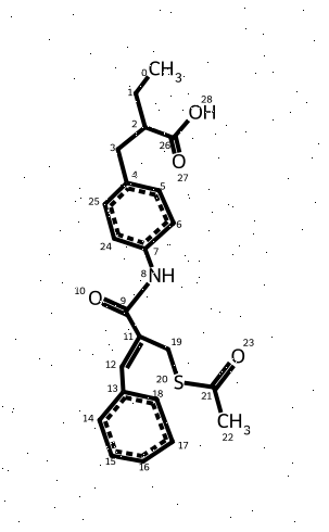 CCC(Cc1ccc(NC(=O)C(=Cc2ccccc2)CSC(C)=O)cc1)C(=O)O